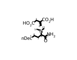 C=C(CC(=O)O)C(=O)O.CCCCCCCCCCCCC(C(N)=O)N(C)C